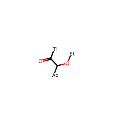 CCOC(C(C)=O)[C](=O)[Ti]